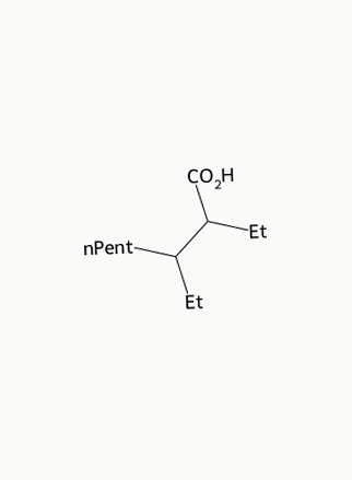 CCCCCC(CC)C(CC)C(=O)O